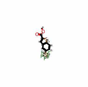 COC(=O)c1cc2cc(S(F)(F)(F)(F)F)ccc2s1